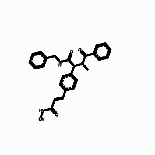 CN(C(=O)c1ccccc1)C(C(=O)NCc1ccccc1)c1ccc(C=CC(=O)NO)cc1